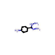 N/N=C(\NN)c1ccc(N)cc1